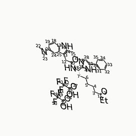 CCC(=O)CCCCC[C@H](NC(=O)Cc1c(C)[nH]c2ccc(N(C)C)cc12)c1ncc(-c2ccccc2)[nH]1.O=C(O)C(F)(F)F.O=C(O)C(F)(F)F